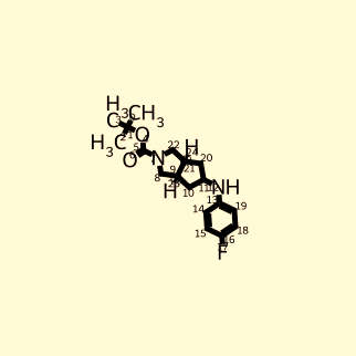 CC(C)(C)OC(=O)N1C[C@H]2CC(Nc3ccc(F)cc3)C[C@H]2C1